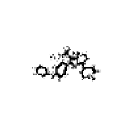 CN1CCC(C2CCNc3c(C(N)=O)c(-c4ccc(OC5=CC=CCC5)cc4)nn32)CC1